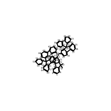 CC1(C)c2ccccc2-c2ccc(N(c3ccc4c(c3)C(c3ccccc3)(c3ccccc3)c3ccccc3-4)c3cccc4c3oc3c(C5(c6ccccc6)c6ccccc6-c6ccccc65)cccc34)cc21